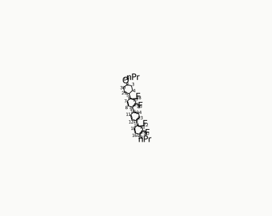 CCCOC1CCC(c2ccc(-c3ccc(-c4ccc(CCC)c(F)c4F)cc3)c(F)c2F)CC1